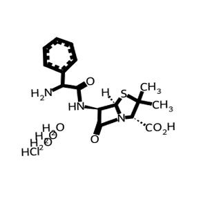 CC1(C)S[C@@H]2[C@H](NC(=O)C(N)c3ccccc3)C(=O)N2[C@H]1C(=O)O.Cl.O.O.O